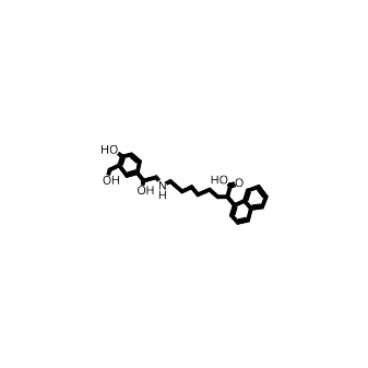 O=C(O)C(CCCCCCNCC(O)c1ccc(O)c(CO)c1)c1cccc2ccccc12